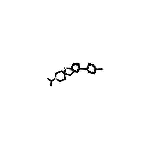 Cc1ccc(-c2ccc3c(c2)CC2(CCN(C(C)C)CC2)O3)cc1